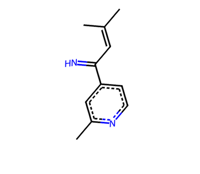 CC(C)=CC(=N)c1ccnc(C)c1